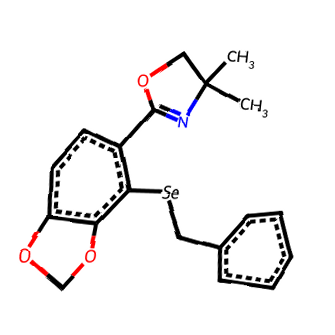 CC1(C)COC(c2ccc3c(c2[Se]Cc2ccccc2)OCO3)=N1